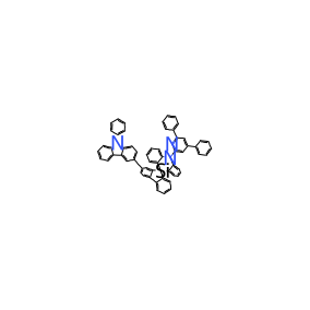 c1ccc(-c2cc(-c3ccccc3)nc(N3c4ccccc4[Si]4(c5ccccc5-c5ccc(-c6ccc7c(c6)c6ccccc6n7-c6ccccc6)cc54)c4ccccc43)c2)cc1